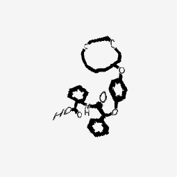 O=C(O)c1ccccc1NC(=O)C(Oc1ccc(OC2CCCCCCCCCCC2)cc1)c1ccccc1